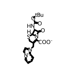 CC(C)(C)OC(=O)N[C@@H]1C(=O)N2C(C(=O)[O-])=C(Cn3cc[n+]4ccccc34)CS[C@@H]12